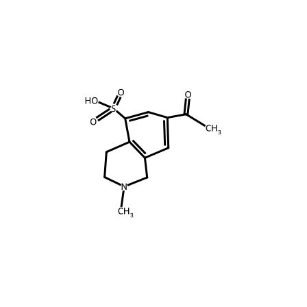 CC(=O)c1cc2c(c(S(=O)(=O)O)c1)CCN(C)C2